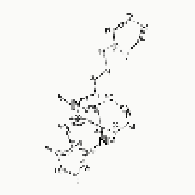 CN(CCCCc1ccccc1)C1=Nc2ccccc2NC12CCOCC2